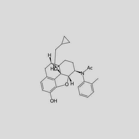 CC(=O)N(c1ccccc1C)[C@@H]1CC[C@@]2(O)[C@H]3Cc4ccc(O)c5c4[C@@]2(CCN3CC2CC2)[C@H]1O5